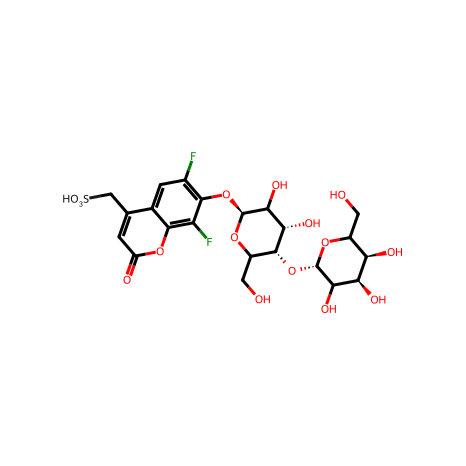 O=c1cc(CS(=O)(=O)O)c2cc(F)c(O[C@@H]3OC(CO)[C@@H](O[C@@H]4OC(CO)[C@@H](O)[C@@H](O)C4O)[C@@H](O)C3O)c(F)c2o1